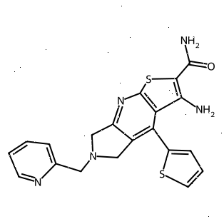 NC(=O)c1sc2nc3c(c(-c4cccs4)c2c1N)CN(Cc1ccccn1)C3